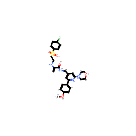 C=C(NCCS(=O)(=O)c1ccc(Cl)cc1)C(=O)NCc1cc(-c2ccc(OC(F)(F)F)cc2)nc(N2CCOCC2)c1